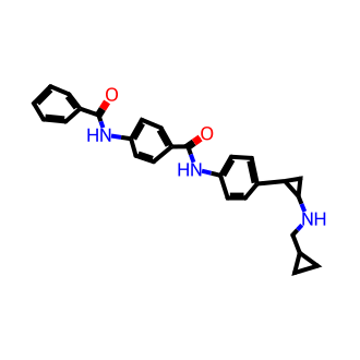 O=C(Nc1ccc(C(=O)Nc2ccc(C3CC3NCC3CC3)cc2)cc1)c1ccccc1